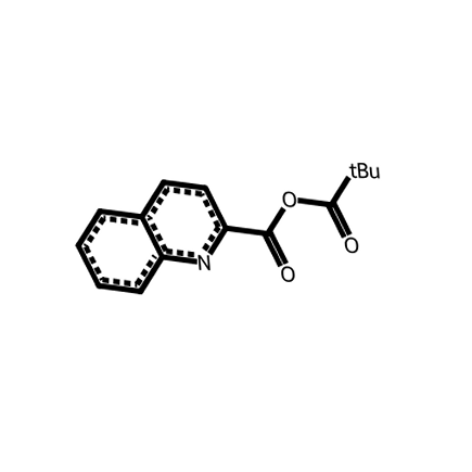 CC(C)(C)C(=O)OC(=O)c1ccc2ccccc2n1